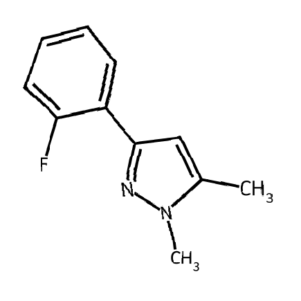 Cc1cc(-c2ccccc2F)nn1C